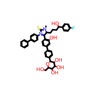 CN1C(=S)N(c2ccc(-c3ccccc3)cc2)C(c2ccc(-c3ccc(C4OC(CO)C(O)C(O)C4O)cc3)cc2O)C1CCCC(O)c1ccc(F)cc1